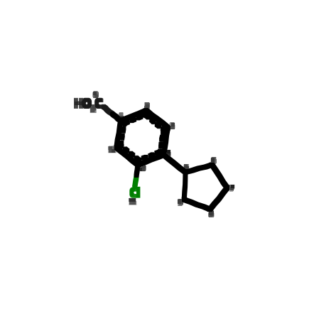 O=C(O)c1ccc(C2CCCC2)c(Cl)c1